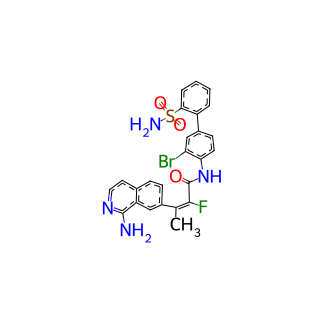 C/C(=C(\F)C(=O)Nc1ccc(-c2ccccc2S(N)(=O)=O)cc1Br)c1ccc2ccnc(N)c2c1